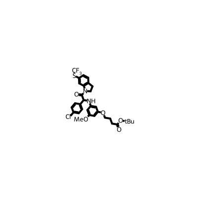 COc1cc(NC(C(=O)N2CCc3ccc(SC(F)(F)F)cc32)c2ccc(Cl)cc2)cc(OCCCC(=O)OC(C)(C)C)c1